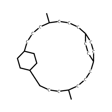 CC1CCCC2CCC(CCCC(C)CCCC3CCC(CCC1)CC3)CC2